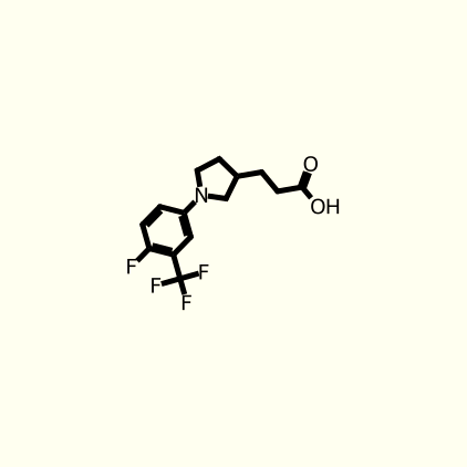 O=C(O)CCC1CCN(c2ccc(F)c(C(F)(F)F)c2)C1